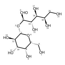 O=C[C@H](O[C@@H]1O[C@H](CO)[C@H](O)[C@H](O)[C@H]1O)[C@@H](O)[C@@H](O)[C@H](O)CO